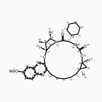 COc1ccc2nc3c(nc2c1)O[C@H]1CN(C(=O)[C@H](C2CCCCC2)NC(=O)O[C@@H]2C[C@H]2CCCCC3)[C@H](C(C)=O)[C@@H]1C